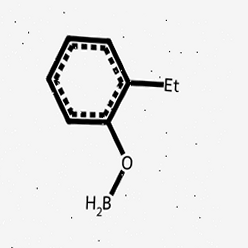 BOc1ccccc1CC